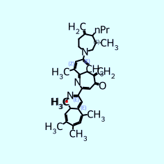 C=C1CC(/C(C)=C\C(=C/C)N2CCC(=C)C(CCC)[C@H](C)C2)=NC(C(/C=C2/C(C)=C=C(C)C(C)=CC2C)=N/C)=CC1=O